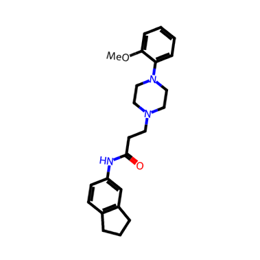 COc1ccccc1N1CCN(CCC(=O)Nc2ccc3c(c2)CCC3)CC1